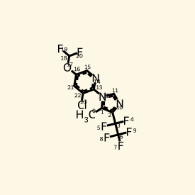 Cc1c(C(F)(F)C(F)(F)F)ncn1-c1ncc(OC(F)F)cc1Cl